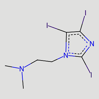 CN(C)CCn1c(I)nc(I)c1I